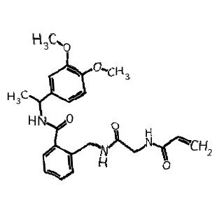 C=CC(=O)NCC(=O)NCc1ccccc1C(=O)NC(C)c1ccc(OC)c(OC)c1